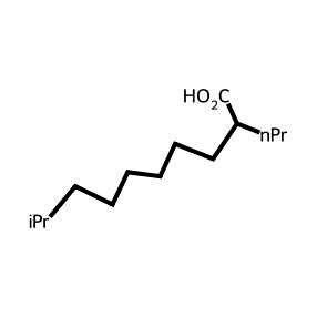 CCCC(CCCCCCC(C)C)C(=O)O